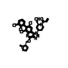 C=CC(=O)N1CC[C@H](n2nnc3c(OC[C@@H]4CCCN4C)nc4c(Cl)c(-c5cccc(Cl)c5Cl)c(Cl)cc4c32)C[C@H]1CC#N